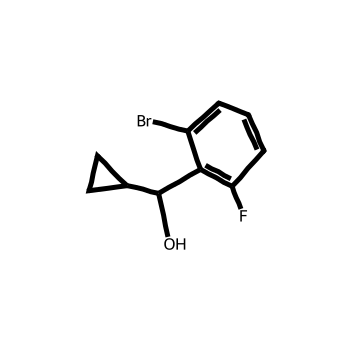 OC(c1c(F)cccc1Br)C1CC1